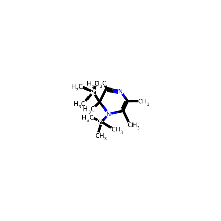 CC1=NC(C)=C(C)N([Si](C)(C)C)C1(C)[Si](C)(C)C